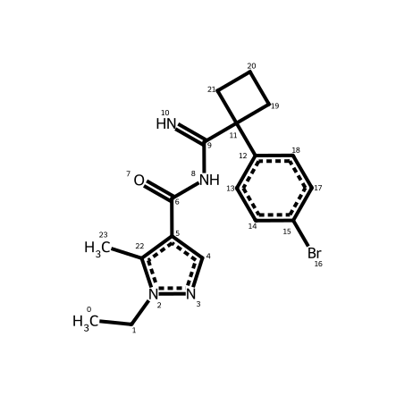 CCn1ncc(C(=O)NC(=N)C2(c3ccc(Br)cc3)CCC2)c1C